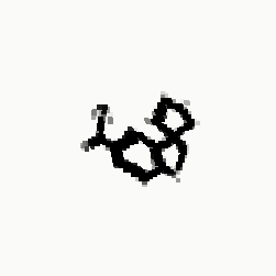 NC(=O)c1ccc2c(c1)C1(CCCC1)CO2